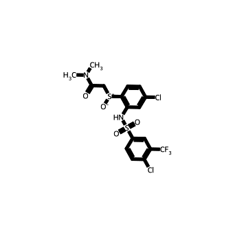 CN(C)C(=O)C[S+]([O-])c1ccc(Cl)cc1NS(=O)(=O)c1ccc(Cl)c(C(F)(F)F)c1